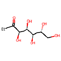 [CH2]CC(=O)[C@H](O)[C@@H](O)[C@H](O)[C@H](O)CO